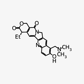 CC[C@H]1C(=O)OCc2c1cc1n(c2=O)Cc2cc3c(CN(C)C)c(O)ccc3nc2-1